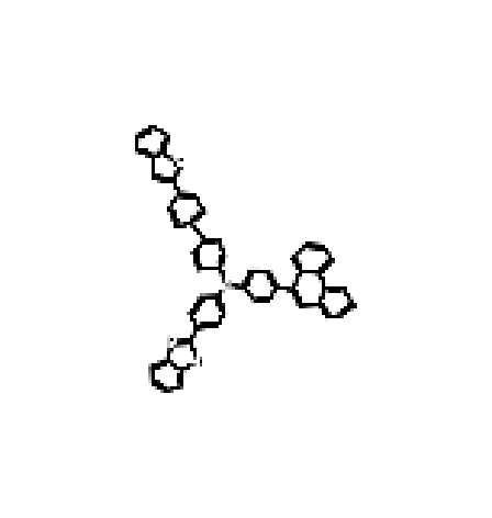 c1ccc2oc(-c3ccc(-c4ccc(N(c5ccc(-c6nc7ccccc7o6)cc5)c5ccc(-c6cc7ccccc7c7ccccc67)cc5)cc4)cc3)cc2c1